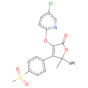 CCCC1(C)OC(=O)C(Oc2ccc(Cl)cn2)=C1c1ccc(S(C)(=O)=O)cc1